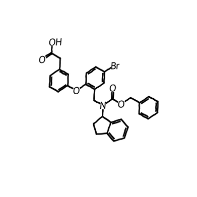 O=C(O)Cc1cccc(Oc2ccc(Br)cc2CN(C(=O)OCc2ccccc2)C2CCc3ccccc32)c1